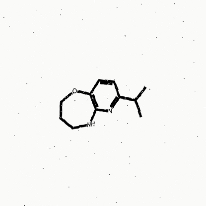 CC(C)c1ccc2c(n1)NCCCO2